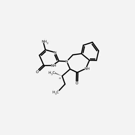 CC[C@H](C)C1C(=O)Nc2ccccc2CN1c1nc(N)cc(=O)[nH]1